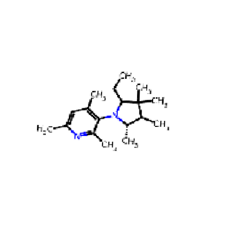 CCC1N(c2c(C)cc(C)nc2C)[C@@H](C)C(C)C1(C)C